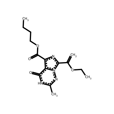 C=C(OCC)c1nc(C(=O)OCCCC)c2c(=O)[nH]c(C)nn12